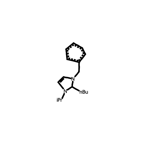 CCCCC1N(Cc2ccccc2)C=CN1C(C)C